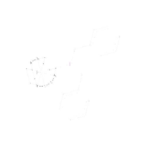 c1ccc(CP(Cc2ccccc2)[C]23[CH]4[CH]5[CH]6[CH]2[Fe]56432789[CH]3[CH]2[CH]7[CH]8[CH]39)cc1